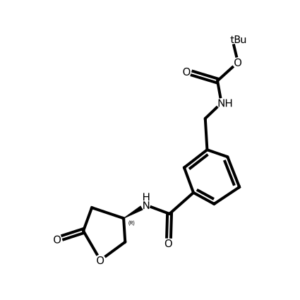 CC(C)(C)OC(=O)NCc1cccc(C(=O)N[C@H]2COC(=O)C2)c1